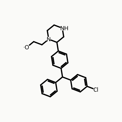 [O]CCN1CCNCC1c1ccc(C(c2ccccc2)c2ccc(Cl)cc2)cc1